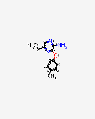 CCc1cnc(N)c(Oc2ccc(C)cc2)n1